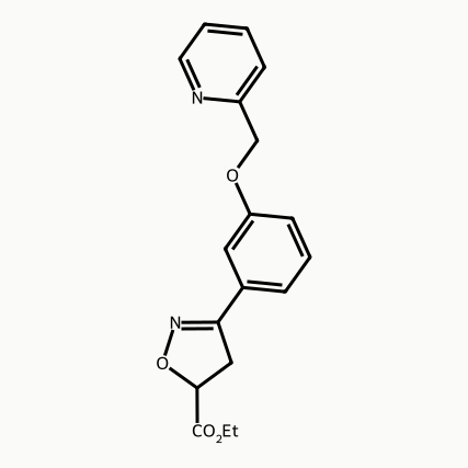 CCOC(=O)C1CC(c2cccc(OCc3ccccn3)c2)=NO1